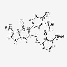 COc1cccc(C=Cc2nc3scc(C(F)(F)F)n3c(=O)c2-c2ccc(C#N)cc2)c1OCC(C)(C)C